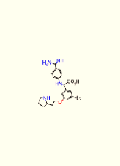 CCc1cc(OCCC2CCCN2)cc(C(Nc2ccc(C(=N)N)cc2)C(=O)O)c1